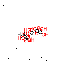 C[C@H]1OC(Oc2cc(-c3oc4cc(O)cc(O)c4c(=O)c3O)cc(O)c2O)[C@@H](O)[C@@H](O)[C@@H]1O